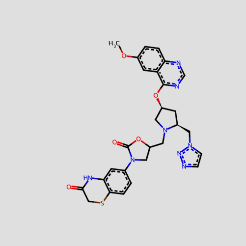 COc1ccc2ncnc(O[C@H]3C[C@@H](Cn4ccnn4)N(CC4CN(c5ccc6c(c5)NC(=O)CS6)C(=O)O4)C3)c2c1